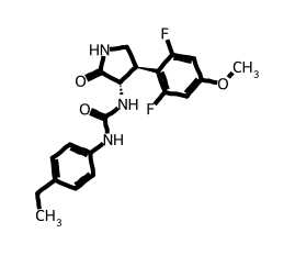 CCc1ccc(NC(=O)N[C@@H]2C(=O)NC[C@H]2c2c(F)cc(OC)cc2F)cc1